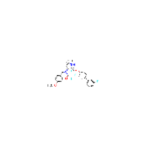 COc1ccc(CN(C(=O)C(F)(F)F)[C@H]2C[C@@H](C)N[C@H]2COC2CCC(c3cccc(F)c3)CC2)cc1